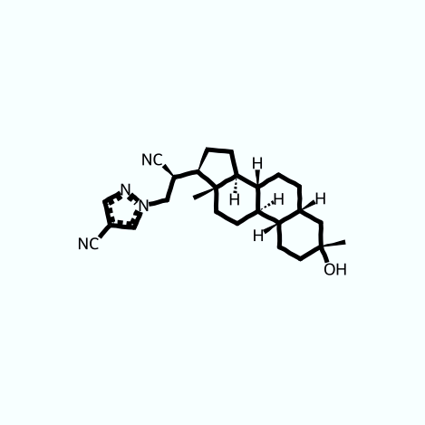 C[C@@]1(O)CC[C@H]2[C@H](CC[C@@H]3[C@@H]2CC[C@]2(C)[C@@H]([C@H](C#N)Cn4cc(C#N)cn4)CC[C@@H]32)C1